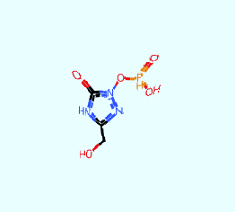 O=c1[nH]c(CO)nn1O[PH](=O)O